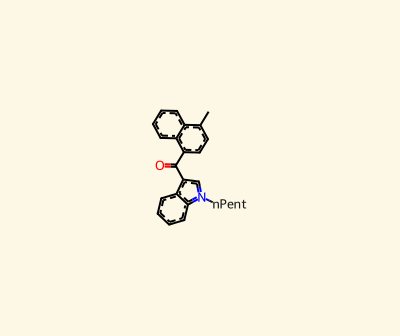 CCCCCn1cc(C(=O)c2ccc(C)c3ccccc23)c2ccccc21